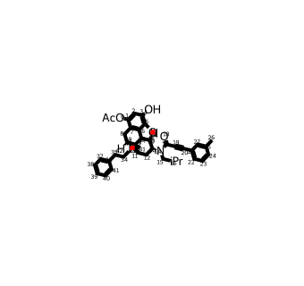 CC(=O)Oc1cc(O)c2c3c1C[C@@H]1[C@@H]4CC[C@@H](N(CC(C)C)C(=O)C#Cc5cccc(C)c5)[C@H](O2)[C@]34CCN1CCc1ccccc1